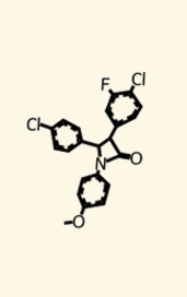 COc1ccc(N2C(=O)C(c3ccc(Cl)c(F)c3)C2c2ccc(Cl)cc2)cc1